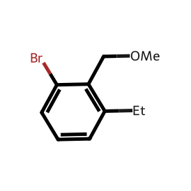 CCc1cccc(Br)c1COC